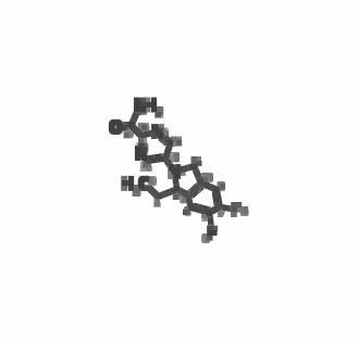 CCC1c2cc(F)c(F)cc2CN1c1cnc(C(N)=O)nc1